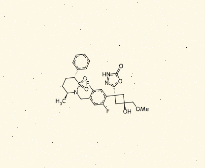 COC[C@]1(O)C[C@@](c2n[nH]c(=O)o2)(c2cc(F)c(CN3[C@@H](C)CC[C@H](c4ccccc4)S3(=O)=O)cc2F)C1